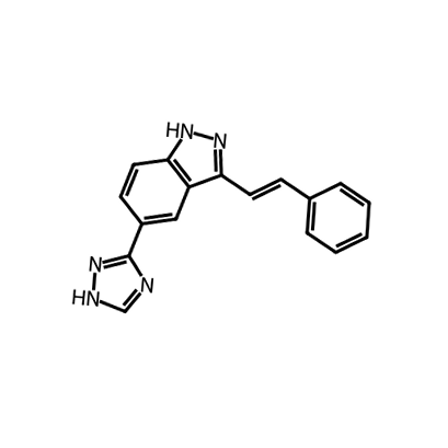 C(=Cc1n[nH]c2ccc(-c3nc[nH]n3)cc12)c1ccccc1